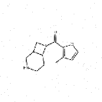 Cc1ccoc1C(=O)N1CC2CNCCC21